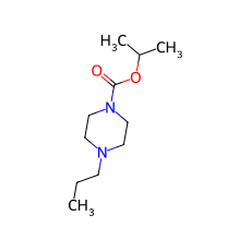 CCCN1CCN(C(=O)OC(C)C)CC1